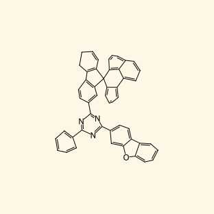 C1=CC2=C(CC1)c1ccc(-c3nc(-c4ccccc4)nc(-c4ccc5c(c4)oc4ccccc45)n3)cc1C21c2ccccc2-c2cccc3cccc1c23